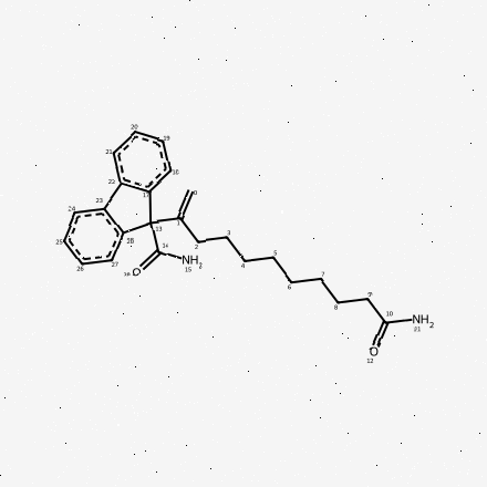 C=C(CCCCCCCCC(N)=O)C1(C(N)=O)c2ccccc2-c2ccccc21